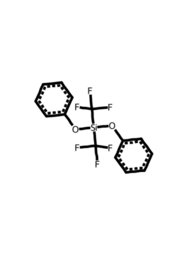 FC(F)(F)[Si](Oc1ccccc1)(Oc1ccccc1)C(F)(F)F